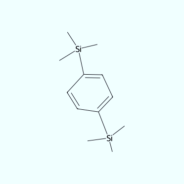 C[Si](C)(C)c1ccc([Si](C)(C)C)cc1